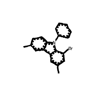 Cc1ccc2c(c1)c1cc(C)cc(Br)c1n2-c1ccccc1